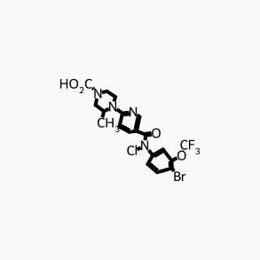 CC1CN(C(=O)O)CCN1c1ccc(C(=O)N(Cl)c2ccc(Br)c(OC(F)(F)F)c2)cn1